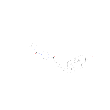 C[C@H](CCC(=O)N1CCN(C(=O)N2CC[C@@H]2C)CC1)[C@H]1CC[C@H]2[C@@H]3CC=C4C[C@@H](O)CC[C@]4(C)[C@H]3CC[C@]12C